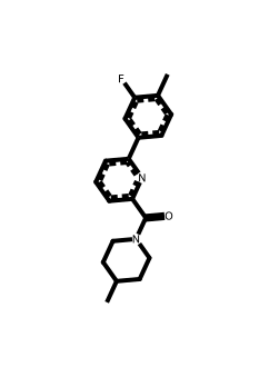 Cc1ccc(-c2cccc(C(=O)N3CCC(C)CC3)n2)cc1F